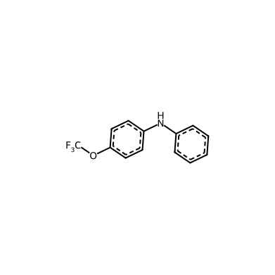 FC(F)(F)Oc1ccc(Nc2ccccc2)cc1